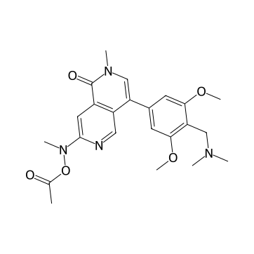 COc1cc(-c2cn(C)c(=O)c3cc(N(C)OC(C)=O)ncc23)cc(OC)c1CN(C)C